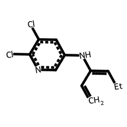 C=C/C(=C\CC)Nc1cnc(Cl)c(Cl)c1